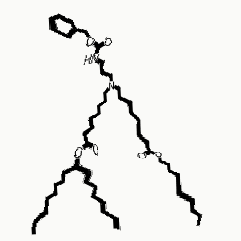 CCCCCCCCCOC(=O)CCCCCCCN(CCCCCCCC(=O)OC(CCCCCCCC)CCCCCCCC)CCCNC(=O)OCc1ccccc1